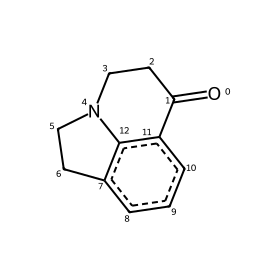 O=C1CCN2CCc3cccc1c32